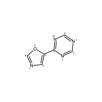 [c]1ncnc(-c2cnco2)n1